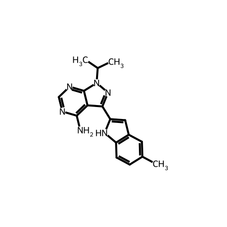 Cc1ccc2[nH]c(-c3nn(C(C)C)c4ncnc(N)c34)cc2c1